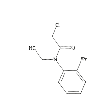 CC(C)c1ccccc1N(CC#N)C(=O)CCl